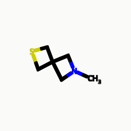 CN1CC2(CSC2)C1